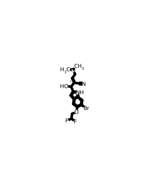 CN(C)C/C=C(\C#N)C(O)c1cc2cc(OCC(F)F)c(Br)cc2[nH]1